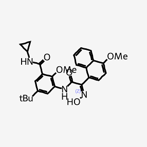 COc1c(NC(=O)/C(=N\O)c2ccc(OC)c3ccccc23)cc(C(C)(C)C)cc1C(=O)NC1CC1